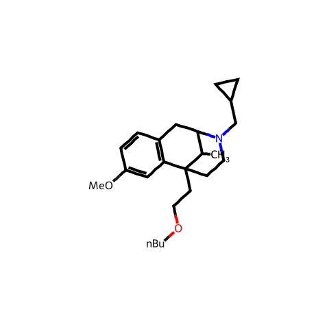 CCCCOCCC12CCN(CC3CC3)C(Cc3ccc(OC)cc31)C2C